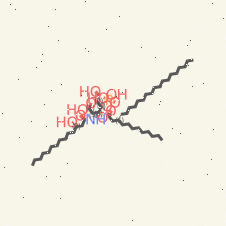 CCCCCCCCCCCCCCCCCC[C@H](CCCCCCCCC)CC(=O)O[C@@H]1[C@H](NC(=O)C[C@H](O)CCCCCCCCCCC)[C@@H](O)O[C@H](CO)[C@H]1OP(=O)(O)O